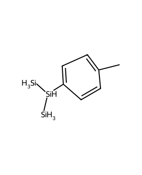 Cc1ccc([SiH]([SiH3])[SiH3])cc1